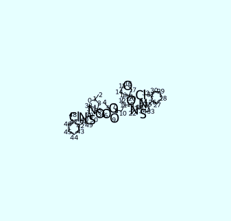 CC(C)[C@H](CC(=O)OC(=O)CC(CC1CCOCC1)C(=O)N(C)c1nc(-c2ccccc2Cl)cs1)C(=O)N(C)c1nc(-c2ccccc2Cl)cs1